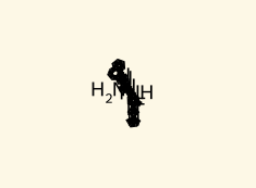 Nc1nc(Nc2ccc(N3CC(N4CCCC4)C3)c(F)c2)nn1-c1cc2c(nn1)-c1ccccc1CCC2